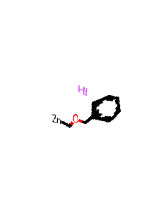 I.[Zn][CH2]OCc1ccccc1